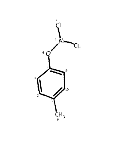 Cc1ccc([O][Al]([Cl])[Cl])cc1